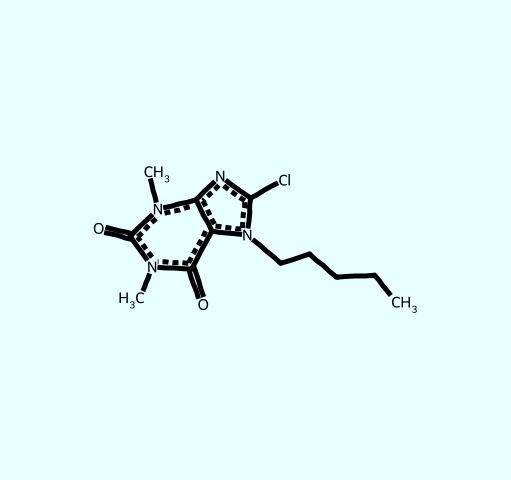 CCCCCn1c(Cl)nc2c1c(=O)n(C)c(=O)n2C